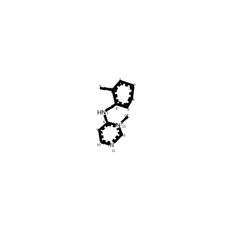 Cc1ccccc1Nc1ccnc[n+]1C